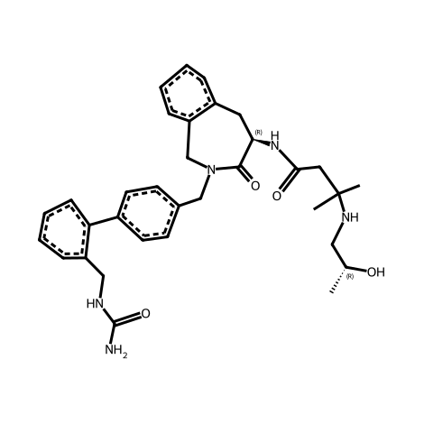 C[C@@H](O)CNC(C)(C)CC(=O)N[C@@H]1Cc2ccccc2CN(Cc2ccc(-c3ccccc3CNC(N)=O)cc2)C1=O